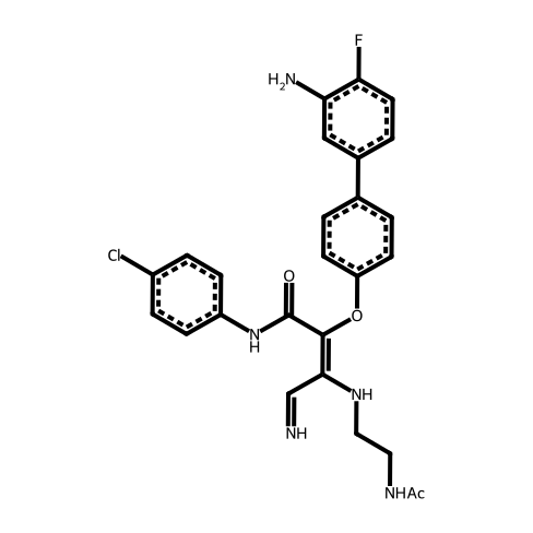 CC(=O)NCCN/C(C=N)=C(\Oc1ccc(-c2ccc(F)c(N)c2)cc1)C(=O)Nc1ccc(Cl)cc1